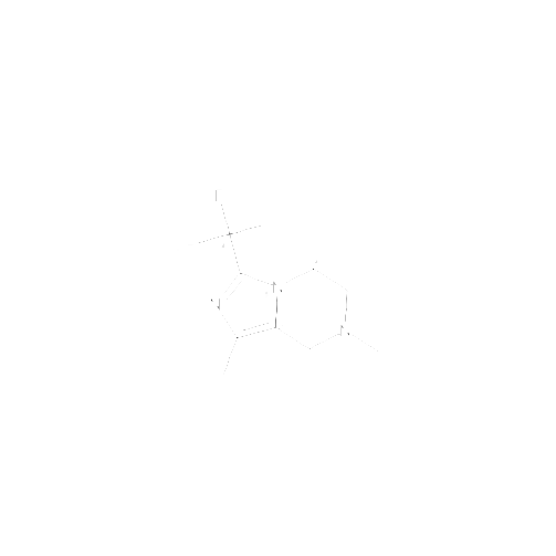 Cc1nc(C(F)(F)F)n2c1CN(C)CC2